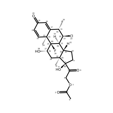 CC(=O)OCC(=O)[C@@]1(O)CC[C@H]2[C@@H]3[C@H](Cl)[C@@H](F)C4=CC(=O)C=C[C@]4(C)[C@@]3(F)[C@@H](O)C[C@@]21C